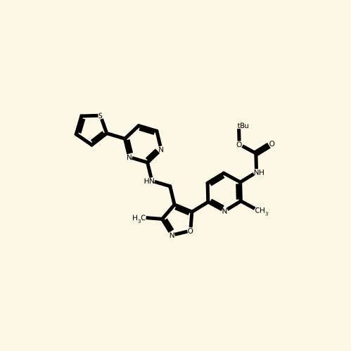 Cc1nc(-c2onc(C)c2CNc2nccc(-c3cccs3)n2)ccc1NC(=O)OC(C)(C)C